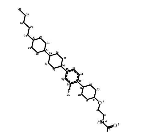 C=CC(=O)NCCOC1CCC(c2ccc(C3CCC(C4CCC(CCCCC)CC4)CC3)cc2F)CC1